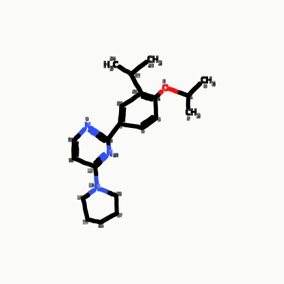 CC(C)Oc1ccc(-c2nccc(N3CC[CH]CC3)n2)cc1C(C)C